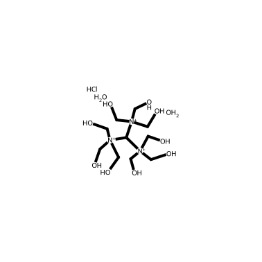 Cl.O.O.OC[N+](CO)(CO)C([N+](CO)(CO)CO)[N+](CO)(CO)CO